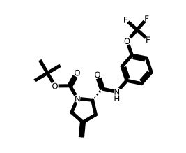 C=C1C[C@@H](C(=O)Nc2cccc(OC(F)(F)F)c2)N(C(=O)OC(C)(C)C)C1